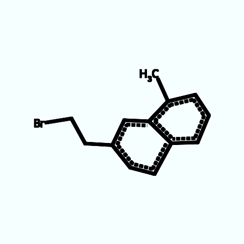 Cc1cccc2ccc(CCBr)cc12